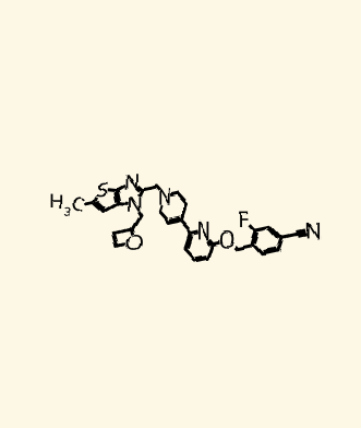 Cc1cc2c(nc(CN3CC=C(c4cccc(OCc5ccc(C#N)cc5F)n4)CC3)n2CC2CCO2)s1